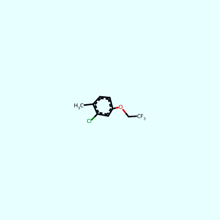 Cc1ccc(OCC(F)(F)F)cc1Cl